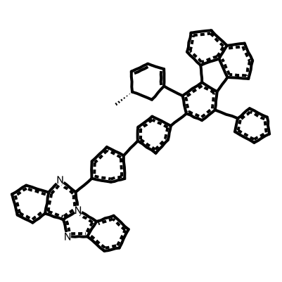 C[C@@H]1C=CC=C(c2c(-c3ccc(-c4ccc(-c5nc6ccccc6c6nc7ccccc7n56)cc4)cc3)cc(-c3ccccc3)c3c2-c2cccc4cccc-3c24)C1